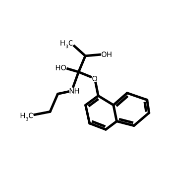 CCCNC(O)(Oc1cccc2ccccc12)C(C)O